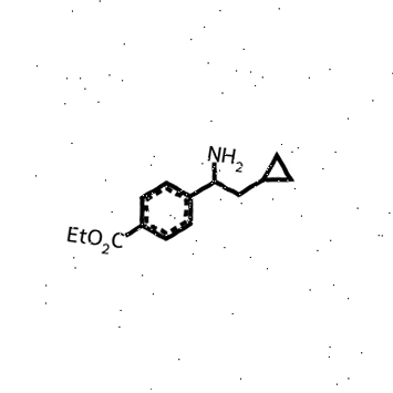 CCOC(=O)c1ccc(C(N)CC2CC2)cc1